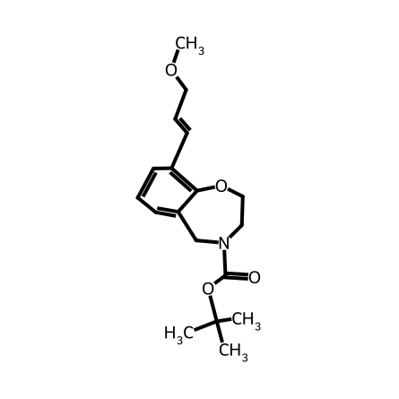 COCC=Cc1cccc2c1OCCN(C(=O)OC(C)(C)C)C2